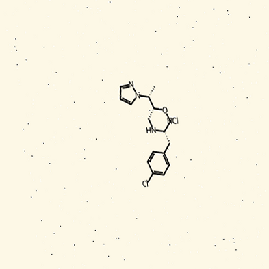 C[C@H]([C@H]1CN[C@@H](Cc2ccc(Cl)cc2)CO1)n1cccn1.Cl